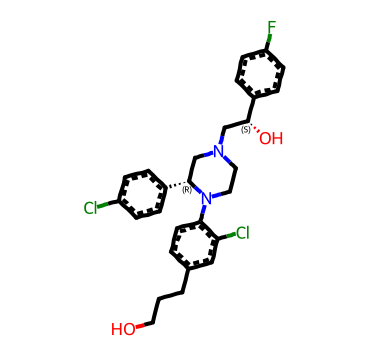 OCCCc1ccc(N2CCN(C[C@@H](O)c3ccc(F)cc3)C[C@H]2c2ccc(Cl)cc2)c(Cl)c1